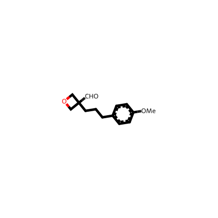 COc1ccc(CCCC2(C=O)COC2)cc1